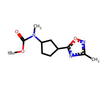 Cc1noc(C2CCC(N(C)C(=O)OC(C)(C)C)C2)n1